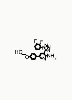 Nc1ncc(-c2ccc(OCCO)cc2)cc1-c1nnnn1-c1cccc(F)c1F